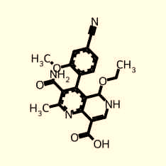 CCOC1NC=C(C(=O)O)c2nc(C)c(C(N)=O)c(-c3ccc(C#N)cc3OC)c21